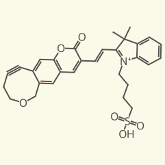 CC1(C)C(/C=C/c2cc3cc4c(cc3oc2=O)C#CCCOC4)=[N+](CCCCS(=O)(=O)O)c2ccccc21